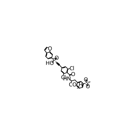 CS(=O)(=O)c1cccc(CC(NC(=O)c2c(Cl)cc(C#CP(=O)(O)c3ccc4ccoc4c3)cc2Cl)C(=O)O)c1